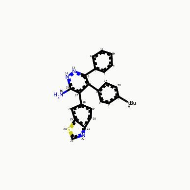 CC(C)(C)c1ccc(-c2c(-c3ccccc3)nnc(N)c2-c2ccc3ncsc3c2)cc1